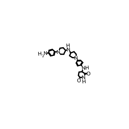 Nc1ccc(N2CCC(NC3CCN(c4ccc(NC5CCC(=O)NC5=O)cc4)CC3)CC2)cc1